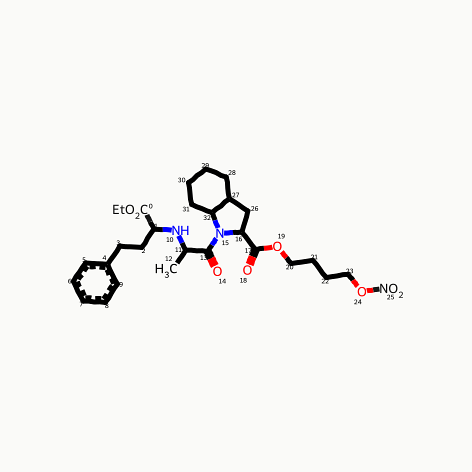 CCOC(=O)C(CCc1ccccc1)NC(C)C(=O)N1C(C(=O)OCCCCO[N+](=O)[O-])CC2CCCCC21